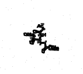 COC(=O)CC[C@H](NC(=O)CC(C)=O)C(=O)OC